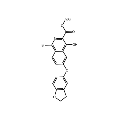 CCCCOC(=O)c1nc(Br)c2ccc(Oc3ccc4c(c3)CCO4)cc2c1O